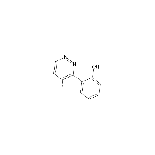 Cc1ccnnc1-c1ccccc1O